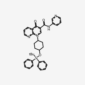 CC(C)(C)[Si](OC1CCC(n2cc(C(=O)Nc3cccnc3)c(=O)c3cccnc32)CC1)(c1ccccc1)c1ccccc1